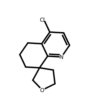 Clc1ccnc2c1CCCC21CCOC1